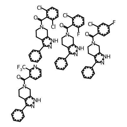 O=C(c1c(Cl)cccc1Cl)N1CCc2c(-c3ccccc3)n[nH]c2C1.O=C(c1c(F)cccc1Cl)N1CCc2c(-c3ccccc3)n[nH]c2C1.O=C(c1ccc(F)cc1Cl)N1CCc2c(-c3ccccc3)n[nH]c2C1.O=C(c1cccnc1C(F)(F)F)N1CCc2c(-c3ccccc3)n[nH]c2C1